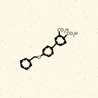 O=C(O)c1ccc(-c2ccc(OCc3ccccc3)cc2)cc1C(=O)O